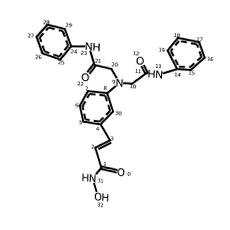 O=C(/C=C/c1cccc(N(CC(=O)Nc2ccccc2)CC(=O)Nc2ccccc2)c1)NO